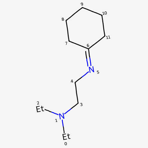 CCN(CC)CCN=C1CCCCC1